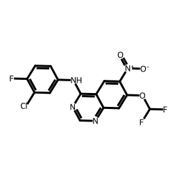 O=[N+]([O-])c1cc2c(Nc3ccc(F)c(Cl)c3)ncnc2cc1OC(F)F